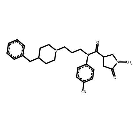 CN1CC(C(=O)N(CCCN2CCC(Cc3ccccc3)CC2)c2ccc(C#N)cc2)CC1=O